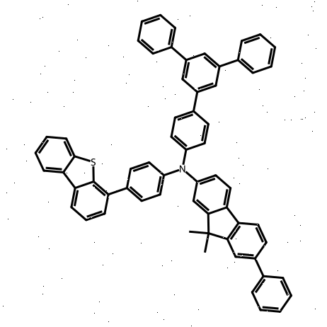 CC1(C)c2cc(-c3ccccc3)ccc2-c2ccc(N(c3ccc(-c4cc(-c5ccccc5)cc(-c5ccccc5)c4)cc3)c3ccc(-c4cccc5c4sc4ccccc45)cc3)cc21